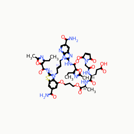 CCc1nc(C)oc1C(=O)/N=c1\sc2cc(C(N)=O)cc(OCCCOC(=O)[C@H](C)NC(=O)[C@H](CCC(=O)O)NC(=O)CN3C(=O)C=CC3=O)c2n1C/C=C/Cn1c(NC(=O)c2oc(C)nc2CC)nc2cc(C(N)=O)cnc21